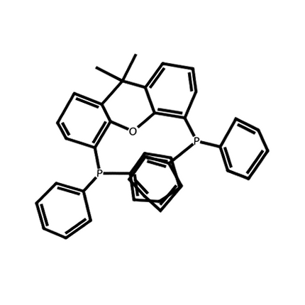 CC1(C)c2cccc(P(C3=CCCC=C3)c3ccccc3)c2Oc2c(P(c3ccccc3)c3ccccc3)cccc21